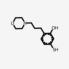 Oc1cc(S)ccc1CCCN1CCOCC1